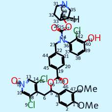 COc1ccc(C(Cc2c(Cl)c[n+]([O-])cc2Cl)OC(=O)c2ccc(CN(C(=O)O[C@H]3CN4CCC3CC4)c3cccc(O)c3Cl)cc2)cc1OC